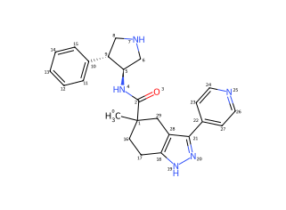 CC1(C(=O)N[C@@H]2CNC[C@H]2c2ccccc2)CCc2[nH]nc(-c3ccncc3)c2C1